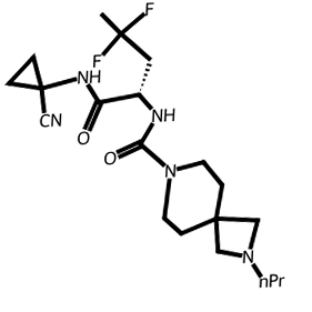 CCCN1CC2(CCN(C(=O)N[C@@H](CC(C)(F)F)C(=O)NC3(C#N)CC3)CC2)C1